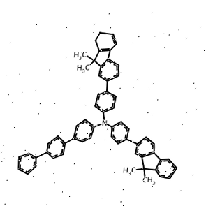 CC1(C)C2=C(C=CCC2)c2ccc(-c3ccc(N(c4ccc(-c5ccc(-c6ccccc6)cc5)cc4)c4ccc(-c5ccc6c(c5)C(C)(C)c5ccccc5-6)cc4)cc3)cc21